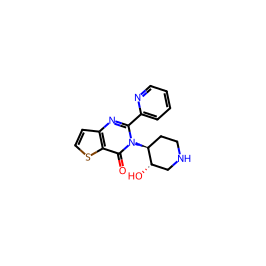 O=c1c2sccc2nc(-c2ccccn2)n1[C@H]1CCNC[C@@H]1O